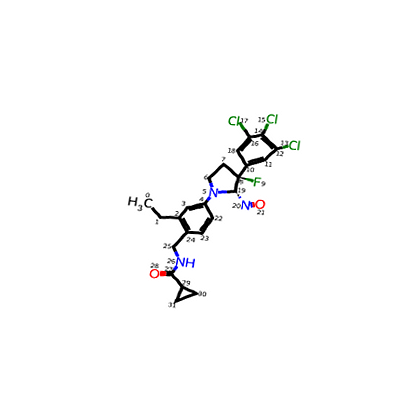 CCc1cc(N2CC[C@](F)(c3cc(Cl)c(Cl)c(Cl)c3)[C@@H]2N=O)ccc1CNC(=O)C1CC1